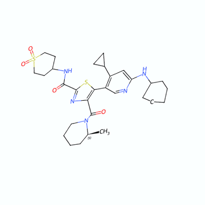 C[C@H]1CCCCN1C(=O)c1nc(C(=O)NC2CCS(=O)(=O)CC2)sc1-c1cnc(NC2CCCCC2)cc1C1CC1